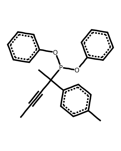 CC#CC(C)(c1ccc(C)cc1)P(Oc1ccccc1)Oc1ccccc1